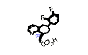 O=C(O)/C=C1\CCC(c2cccc(F)c2F)Cc2cccnc21